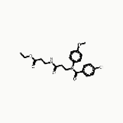 CCOC(=O)CCNC(=O)CCN(C(=O)c1ccc(Cl)cc1)c1ccc(OC)cc1